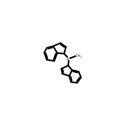 [CH3][Zr]([CH]1C=Cc2ccccc21)[CH]1C=Cc2ccccc21